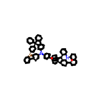 c1ccc(-c2ccc3c4c2N(c2ccccc2)c2ccccc2C4(c2ccccc2)c2cc(-c4ccc(N(c5ccc6c(c5)C(c5ccccc5)(c5ccccc5)c5ccccc5-6)c5ccc6c(c5)sc5ccccc56)cc4)ccc2-3)cc1